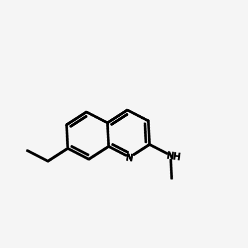 CCc1ccc2ccc(NC)nc2c1